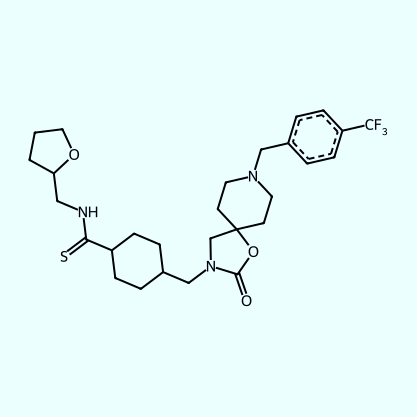 O=C1OC2(CCN(Cc3ccc(C(F)(F)F)cc3)CC2)CN1CC1CCC(C(=S)NCC2CCCO2)CC1